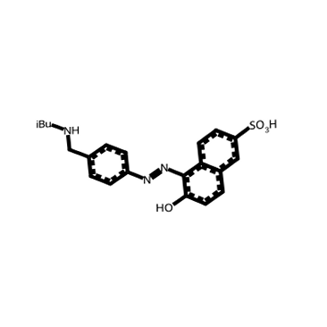 CCC(C)NCc1ccc(N=Nc2c(O)ccc3cc(S(=O)(=O)O)ccc23)cc1